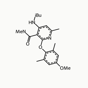 CCC(C)Nc1cc(C)nc(Oc2c(C)cc(OC)cc2C)c1C(=O)NC